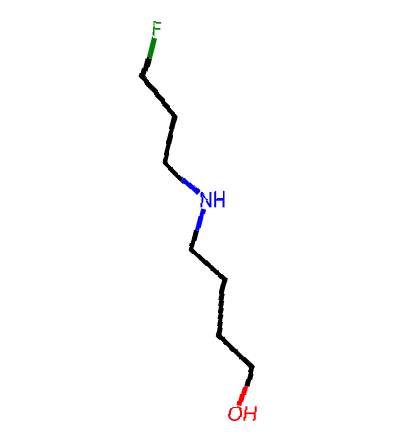 OCCCCNCCCF